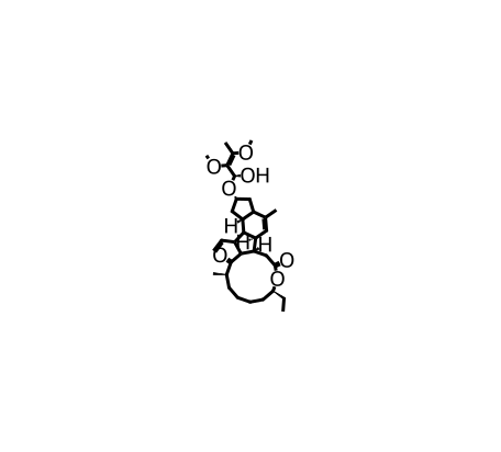 C=CC1C2[C@@H]3C[C@H](O[C@H](O)/C(OC)=C(/C)OC)CC3C(C)=C[C@H]2[C@@H]2CC(=O)O[C@@H](CC)CCCC[C@@H](C)C(=O)C12